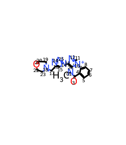 CN1C(=O)c2ccccc2[N+]2C=NC(n3cc(CN4CCOCC4)nn3)=C12